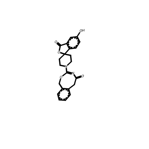 O=C1Cc2ccccc2CO/C(N2CCC3(CC2)OC(=O)c2cc(O)ccc23)=N\1